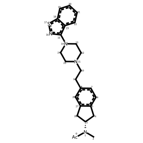 CC(=O)N(C)[C@H]1Cc2ccc(CCN3CCN(c4nsc5ccccc45)CC3)cc2C1